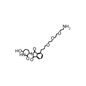 NCCOCCOCCOCCCc1cccc2c1C(=O)N(C1CCC(O)NC1=O)C2=O